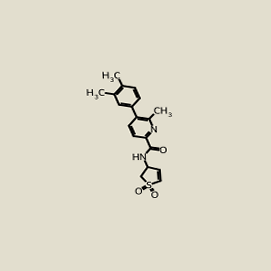 Cc1ccc(-c2ccc(C(=O)NC3C=CS(=O)(=O)C3)nc2C)cc1C